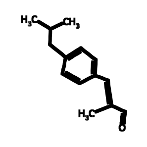 C/C(C=O)=C\c1ccc(CC(C)C)cc1